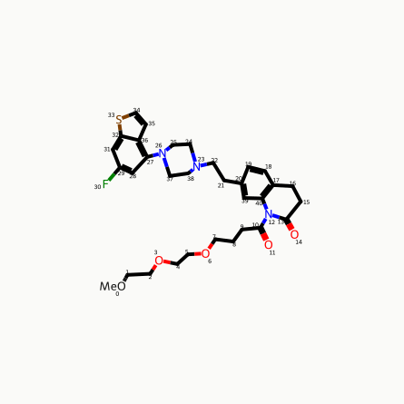 COCCOCCOCCCC(=O)N1C(=O)CCc2ccc(CCN3CCN(c4cc(F)cc5sccc45)CC3)cc21